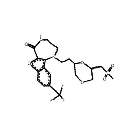 CS(=O)(=O)CC1COCC(CCN2CCNC(=O)c3oc4ccc(C(F)(F)F)cc4c32)O1